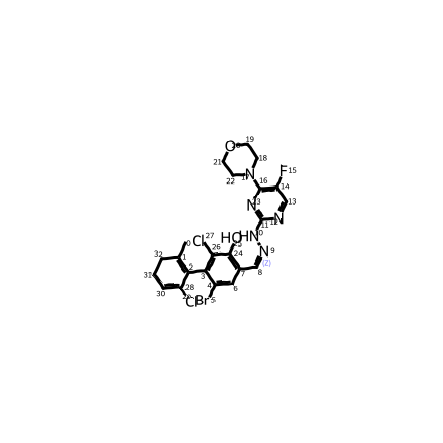 CC1=C(c2c(Br)cc(/C=N\Nc3ncc(F)c(N4CCOCC4)n3)c(O)c2Cl)C(Cl)=CCC1